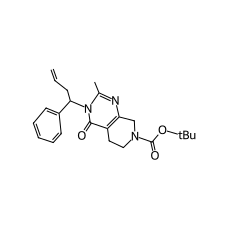 C=CCC(c1ccccc1)n1c(C)nc2c(c1=O)CCN(C(=O)OC(C)(C)C)C2